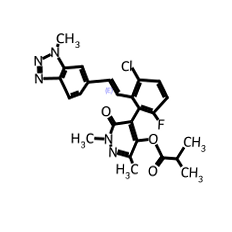 Cc1nn(C)c(=O)c(-c2c(F)ccc(Cl)c2/C=C/c2ccc3nnn(C)c3c2)c1OC(=O)C(C)C